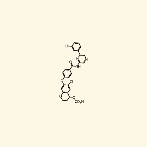 O=C(O)OC1CCOc2cc(Oc3ccc(C(=O)Nc4cncc(-c5cccc(Cl)c5)n4)cc3)c(Cl)cc21